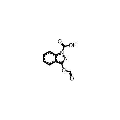 O=COc1nn(C(=O)O)c2ccccc12